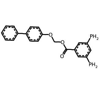 O=C(OCOc1ccc(-c2ccccc2)cc1)c1cc(P)cc(P)c1